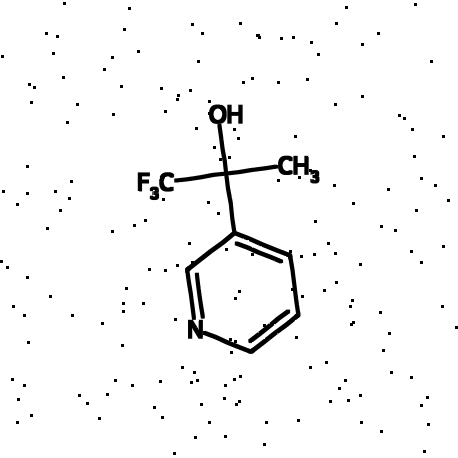 CC(O)(c1cccnc1)C(F)(F)F